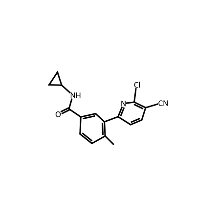 Cc1ccc(C(=O)NC2CC2)cc1-c1ccc(C#N)c(Cl)n1